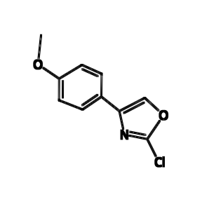 COc1ccc(-c2coc(Cl)n2)cc1